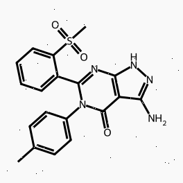 Cc1ccc(-n2c(-c3ccccc3S(C)(=O)=O)nc3[nH]nc(N)c3c2=O)cc1